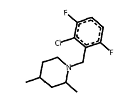 CC1CCN(Cc2c(F)ccc(F)c2Cl)C(C)C1